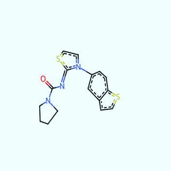 O=C(/N=c1\sccn1-c1ccc2sccc2c1)N1CCCC1